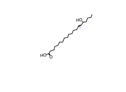 CCCCC(O)/C=C/CCCCCCCCCCCCC(=O)O